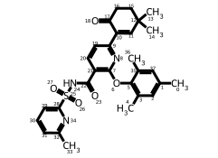 Cc1cc(C)c(Oc2nc(C3=CC(C)(C)CCC3=O)ccc2C(=O)NS(=O)(=O)c2cccc(C)n2)c(C)c1